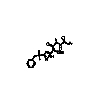 CCCC(=O)NC(C)C(=O)N(c1cc(C(C)(C)Cc2ccccc2)n[nH]1)C(C)(C)C